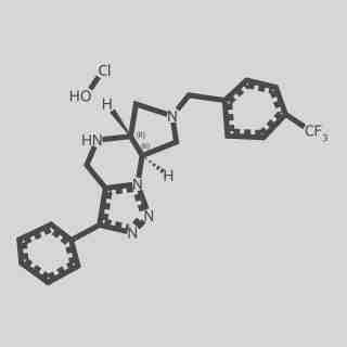 FC(F)(F)c1ccc(CN2C[C@@H]3[C@@H](C2)NCc2c(-c4ccccc4)nnn23)cc1.OCl